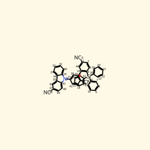 N#Cc1ccc([Si](c2ccccc2)(c2ccccc2)c2ccccc2)c(-c2cc(-n3c4ccccc4c4cc(C#N)ccc43)ccc2C#N)c1